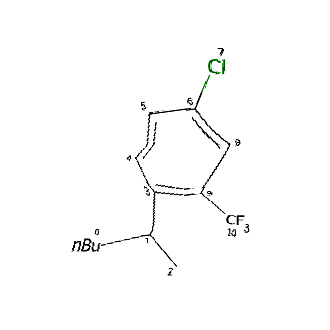 CCCCC(C)c1ccc(Cl)cc1C(F)(F)F